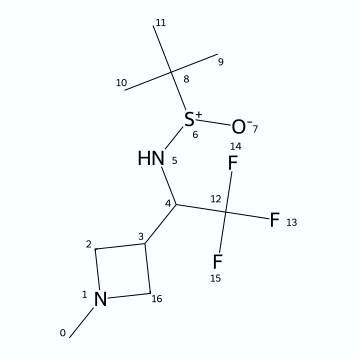 CN1CC(C(N[S+]([O-])C(C)(C)C)C(F)(F)F)C1